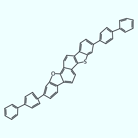 c1ccc(-c2ccc(-c3ccc4c(c3)oc3c4ccc4c3ccc3c5ccc(-c6ccc(-c7ccccc7)cc6)cc5sc34)cc2)cc1